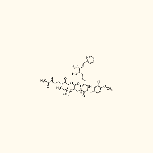 COc1ccc(C[C@@H](NC(=O)/C=C/C[C@H](O)[C@H](C)/C=C/c2ccccn2)C(=O)NC[C@@H](C)C(=O)O[C@@H](CC(C)C)C(=O)SCCNC(C)=O)cc1Cl